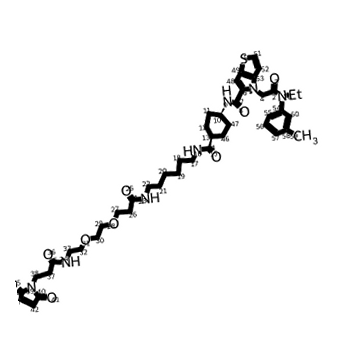 CCN(C(=O)Cn1c(C(=O)N[C@H]2CC[C@H](C(=O)NCCCCCCNC(=O)CCOCCOCCNC(=O)CCN3C(=O)C=CC3=O)CC2)cc2sccc21)c1cccc(C)c1